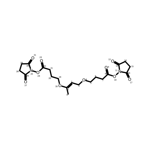 C/C(=C\COCCCC(=O)ON1C(=O)CCC1=O)OCCCC(=O)ON1C(=O)CCC1=O